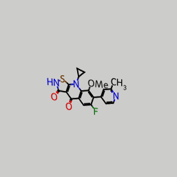 COc1c(-c2ccnc(C)c2)c(F)cc2c(=O)c3c(=O)[nH]sc3n(C3CC3)c12